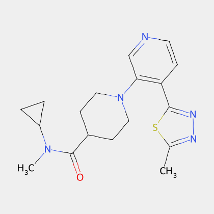 Cc1nnc(-c2ccncc2N2CCC(C(=O)N(C)C3CC3)CC2)s1